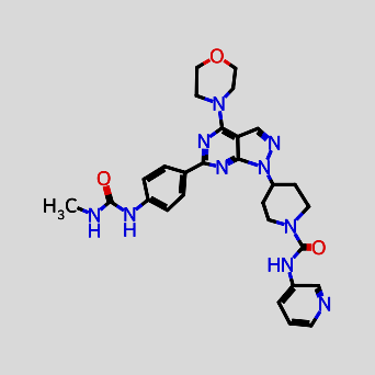 CNC(=O)Nc1ccc(-c2nc(N3CCOCC3)c3cnn(C4CCN(C(=O)Nc5cccnc5)CC4)c3n2)cc1